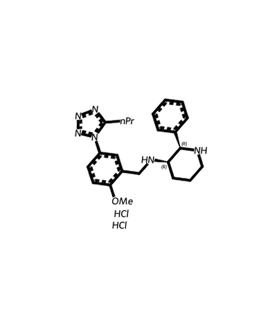 CCCc1nnnn1-c1ccc(OC)c(CN[C@@H]2CCCN[C@@H]2c2ccccc2)c1.Cl.Cl